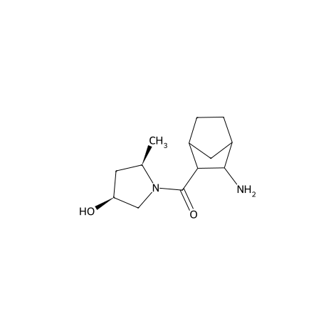 C[C@@H]1C[C@H](O)CN1C(=O)C1C2CCC(C2)C1N